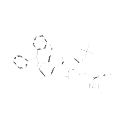 CC(C)(C)OC(=O)C(CCC(N)=C=O)NC(=O)C1=CC=CN(C(c2ccccc2)c2ccccc2)C1=C=O